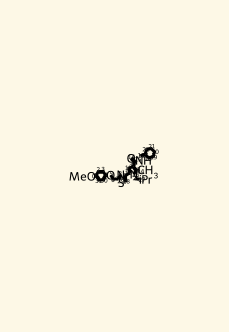 COc1ccc(OCc2nc(-c3cc(C(=O)NCC4CCCCC4)c(C)n3CC(C)C)cs2)cc1